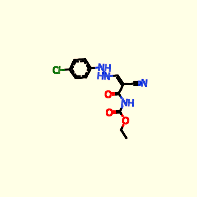 CCOC(=O)NC(=O)C(C#N)=CNNc1ccc(Cl)cc1